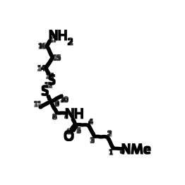 CNCCCCC(=O)NCC(C)(C)SSCCCN